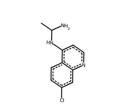 CC(N)Nc1ccnc2cc(Cl)ccc12